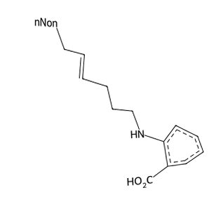 CCCCCCCCCC/C=C/CCCNc1ccccc1C(=O)O